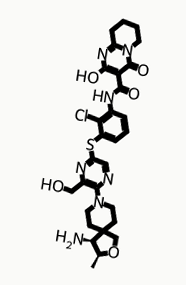 C[C@@H]1OCC2(CCN(c3ncc(Sc4cccc(NC(=O)c5c(O)nc6n(c5=O)CCCC6)c4Cl)nc3CO)CC2)[C@@H]1N